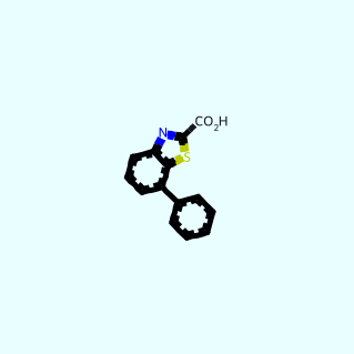 O=C(O)c1nc2cccc(-c3ccccc3)c2s1